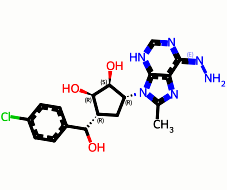 Cc1nc2/c(=N\N)nc[nH]c2n1[C@@H]1C[C@H](C(O)c2ccc(Cl)cc2)[C@@H](O)[C@H]1O